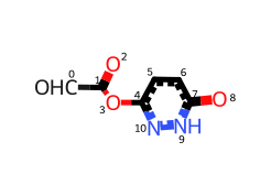 O=CC(=O)Oc1ccc(=O)[nH]n1